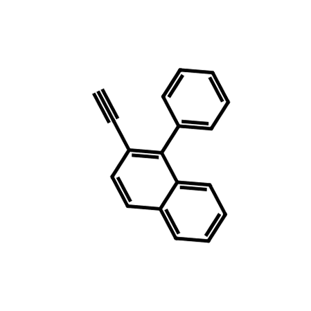 C#Cc1ccc2ccccc2c1-c1ccccc1